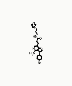 Nc1ncc(/C=C/C(=O)NCCCn2ccnc2)c2scc(-c3ccc(Br)cc3)c12